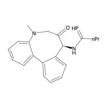 CCCC(=P)N[C@@H]1C(=O)CN(C)c2ccccc2-c2ccccc21